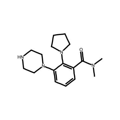 CN(C)C(=O)c1cccc(N2CCNCC2)c1N1CCCC1